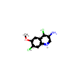 COc1cc2c(Cl)c(N)cnc2cc1Cl